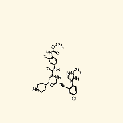 COC(=O)Nc1ccc(NC(=O)[C@H](CCC2CCNCC2)NC(=O)C#Cc2cc(Cl)ccc2N2C=NN(C)N2)cc1F